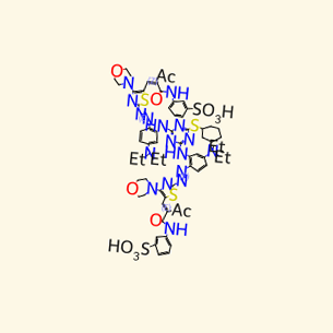 CCN(CC)c1ccc(/N=N/c2nc(N3CCOCC3)c(/C=C(/C(C)=O)C(=O)Nc3cccc(S(=O)(=O)O)c3)s2)c(Nc2nc(Nc3cc(N(CC)CC)ccc3/N=N/c3nc(N4CCOCC4)c(/C=C(\C(C)=O)C(=O)Nc4cccc(S(=O)(=O)O)c4)s3)nc(SC3CCCCC3)n2)c1